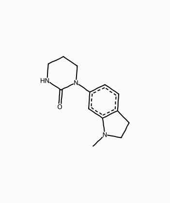 CN1CCc2ccc(N3CCCNC3=O)cc21